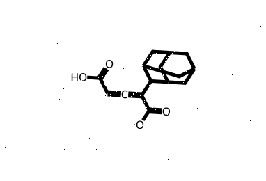 [O]C(=O)C(=C=CC(=O)O)C1C2CC3CC(C2)CC1C3